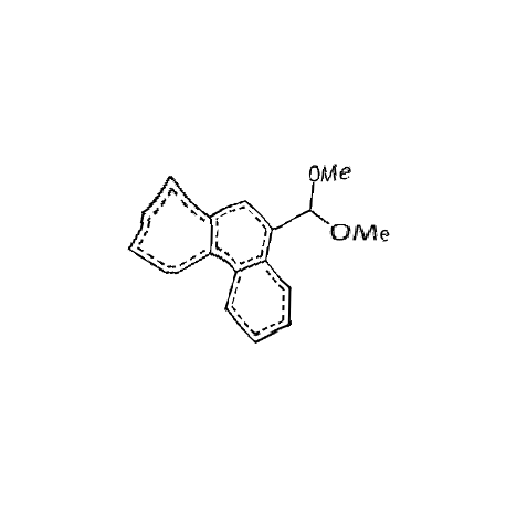 COC(OC)c1cc2ccccc2c2ccccc12